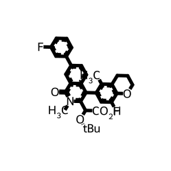 Cc1c(-c2c(C(OC(C)(C)C)C(=O)O)n(C)c(=O)c3cc(-c4cccc(F)c4)ccc23)cc(F)c2c1CCCO2